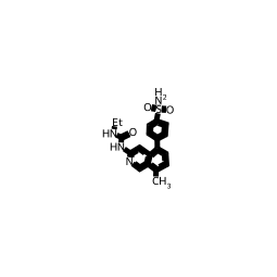 CCNC(=O)Nc1cc2c(-c3ccc(S(N)(=O)=O)cc3)ccc(C)c2cn1